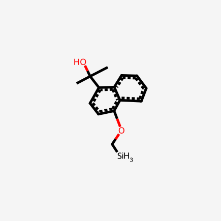 CC(C)(O)c1ccc(OC[SiH3])c2ccccc12